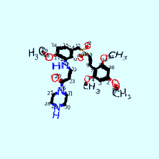 COc1cc(OC)c(/C=C/S(=O)(=O)Cc2ccc(OC)c(N/C=C\C(=O)N3CCNCC3)c2)c(OC)c1